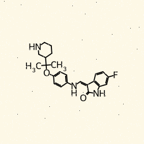 CC(C)(Oc1ccc(NC=C2C(=O)Nc3cc(F)ccc32)cc1)C1CCCNC1